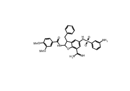 COc1ccc(C(=O)NC2Oc3c(C(=N)N)cc(NS(=O)(=O)c4cccc(N)c4)cc3C2Cc2ccccc2)cc1OC